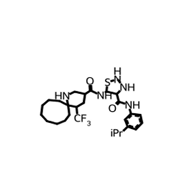 CC(C)c1cccc(NC(=O)C2NNSC2NC(=O)C2CNC3(CCCCCCCC3)C(C(F)(F)F)C2)c1